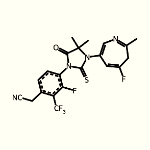 CC1=NC=C(N2C(=S)N(c3ccc(CC#N)c(C(F)(F)F)c3F)C(=O)C2(C)C)C=C(F)C1